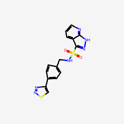 O=S(=O)(NCc1ccc(-c2csnn2)cc1)c1n[nH]c2ncccc12